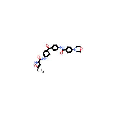 Cc1cc(C(=O)Nc2ccc(C(=O)c3ccc(NC(=O)c4ccc(N5CCOCC5)cc4)cc3)cc2)no1